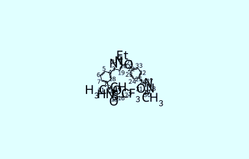 CCn1nc(-c2cccc(C(C)(C)NS(=O)(=O)CC(F)(F)F)c2)cc1Oc1ccc(-c2nnc(C)o2)cc1